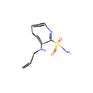 C=CCNc1cccnc1S(N)(=O)=O